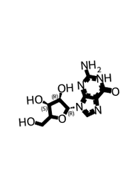 Nc1nc2c(ncn2[C@@H]2OC(CO)[C@@H](O)[C@H]2O)c(=O)[nH]1